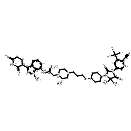 C[C@@H]1CN(CCCO[C@H]2CC[C@H](N3C(=S)N(c4cnc(C#N)c(C(F)(F)F)c4)C(=O)C3(C)C)CC2)C[C@H](C)N1CC(=O)Nc1cccc2c(C3CCC(=O)NC3=O)nn(C)c12